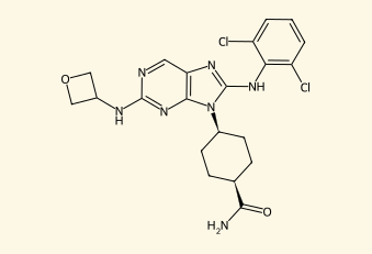 NC(=O)[C@H]1CC[C@@H](n2c(Nc3c(Cl)cccc3Cl)nc3cnc(NC4COC4)nc32)CC1